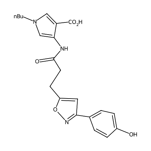 CCCCn1cc(NC(=O)CCc2cc(-c3ccc(O)cc3)no2)c(C(=O)O)c1